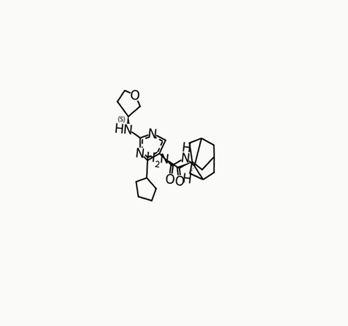 NC(=O)[C@]12CC3CC(C1)[C@H](NC(=O)c1cnc(N[C@H]4CCOC4)nc1C1CCCC1)C(C3)C2